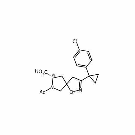 CC(=O)N1CC2(CC(C3(c4ccc(Cl)cc4)CC3)=NO2)C[C@H]1C(=O)O